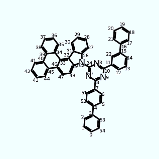 c1ccc(-c2ccc(-c3nc(-c4cccc(-c5ccccc5)c4)nc(-n4c5ccccc5c5c6c7ccccc7c7ccccc7c6ccc54)n3)cc2)cc1